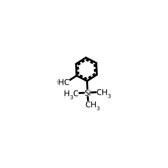 [CH]c1ccccc1[Si](C)(C)C